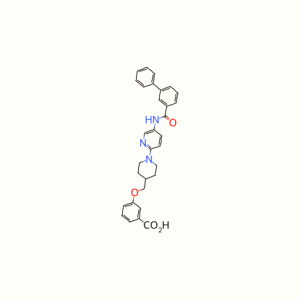 O=C(O)c1cccc(OCC2CCN(c3ccc(NC(=O)c4cccc(-c5ccccc5)c4)cn3)CC2)c1